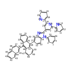 c1ccc(-n2c(-c3cc(-c4ccccn4)nc(-c4ccccn4)c3)nc3cc(-c4c5ccccc5c(-c5ccc6ccccc6c5)c5ccccc45)ccc32)cc1